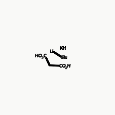 O=C(O)CC(=O)O.[KH].[Li][CH](C)CC